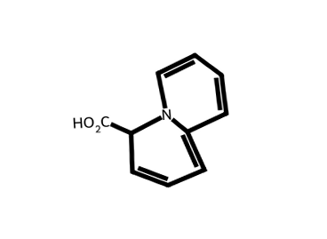 O=C(O)C1C=CC=C2C=CC=CN21